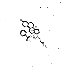 COCCO[C@@H]1CC[C@H]2[C@@H]3CCC4=CC(=O)CCC4=C3[C@@H](c3ccccc3C(N)=O)C[C@]12C